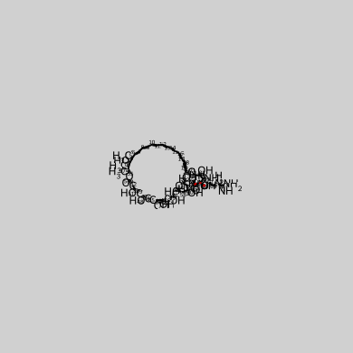 C[C@@H]1[C@H](O)[C@@H](C)/C=C/C=C/C=C/C=C/C=C/C=C/C=C/[C@H](O[C@@H]2O[C@H](C)[C@@H](O)[C@H](N)[C@@H]2O)C[C@@H]2O[C@](O)(C[C@@H](O)C[C@@H](O)[C@H](O)CC[C@@H](O)C[C@@H](O)CC(=O)O[C@H]1C)C[C@H](O)[C@H]2NC(=O)NOCCNC(=N)N